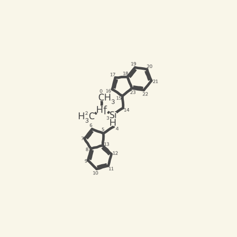 [CH3][Hf]([CH3])[SiH](CC1C=Cc2ccccc21)CC1C=Cc2ccccc21